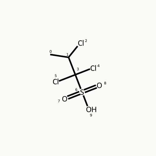 CC(Cl)C(Cl)(Cl)S(=O)(=O)O